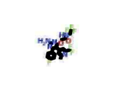 Cc1cc(-c2c(OCC(=O)NCC(F)(F)F)nc(N)nc2-c2ccc(F)cc2)cc(C(F)F)n1